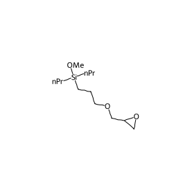 CCC[Si](CCC)(CCCOCC1CO1)OC